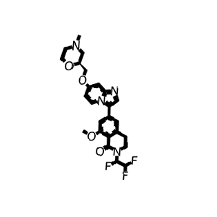 COc1cc(-c2cnc3cc(OC[C@@H]4CN(C)CCO4)ccn23)cc2c1C(=O)N(C(F)C(F)F)CC2